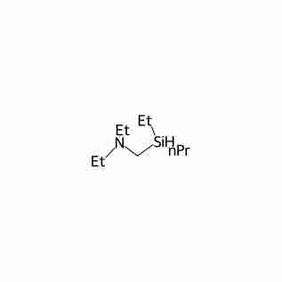 CCC[SiH](CC)CN(CC)CC